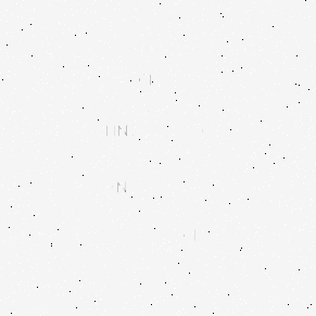 CC1Nc2ncc(Cl)cc2C12CC2